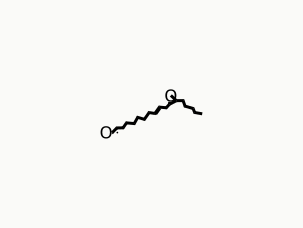 CCCCCC1OC1C/C=C/CCCCCCC[C]=O